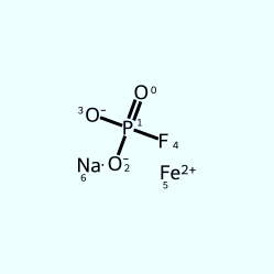 O=P([O-])([O-])F.[Fe+2].[Na]